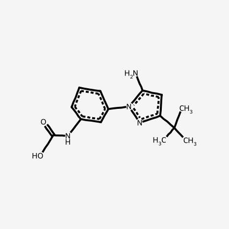 CC(C)(C)c1cc(N)n(-c2cccc(NC(=O)O)c2)n1